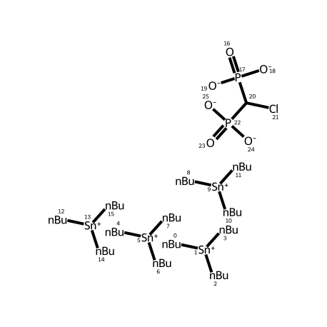 CCC[CH2][Sn+]([CH2]CCC)[CH2]CCC.CCC[CH2][Sn+]([CH2]CCC)[CH2]CCC.CCC[CH2][Sn+]([CH2]CCC)[CH2]CCC.CCC[CH2][Sn+]([CH2]CCC)[CH2]CCC.O=P([O-])([O-])C(Cl)P(=O)([O-])[O-]